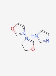 C1=NCCO1.c1c[nH]cn1.c1cocn1